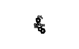 Cc1ccc(S(=O)(=O)N[C@@H]2Cc3ccccc3[C@@H]2O)cc1